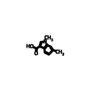 Cc1ccc2c(C(=O)O)cn(C)c2c1